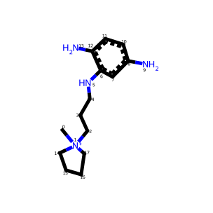 C[N+]1(CCCNc2cc(N)ccc2N)CCCC1